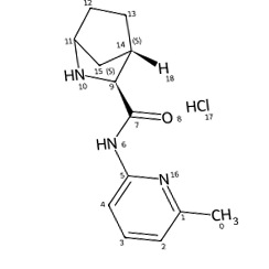 Cc1cccc(NC(=O)[C@H]2NC3CC[C@H]2C3)n1.Cl